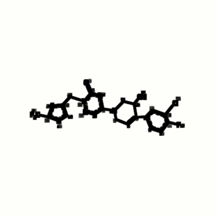 O=c1nc(N2CC=C(c3ccc(F)c(Cl)c3)C(O)C2)cnn1Cc1cnc(C(F)(F)F)s1